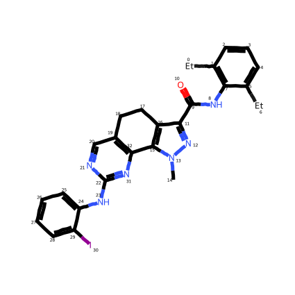 CCc1cccc(CC)c1NC(=O)c1nn(C)c2c1CCc1cnc(Nc3ccccc3I)nc1-2